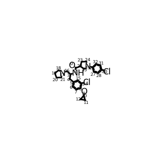 O=C(NC(Cc1ccc(OC2CC2)c(Cl)c1)CN1CCCC1)C1CCN(c2ccc(Cl)cc2)C1